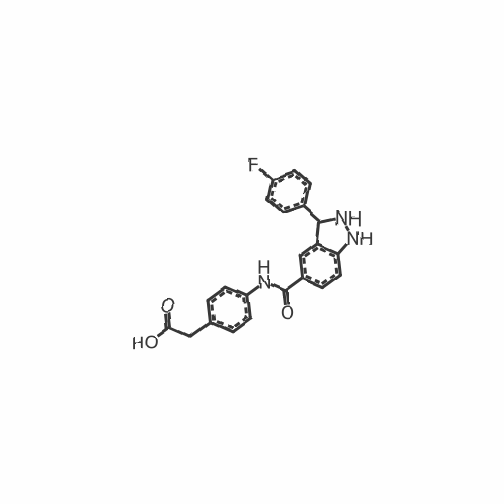 O=C(O)Cc1ccc(NC(=O)c2ccc3c(c2)C(c2ccc(F)cc2)NN3)cc1